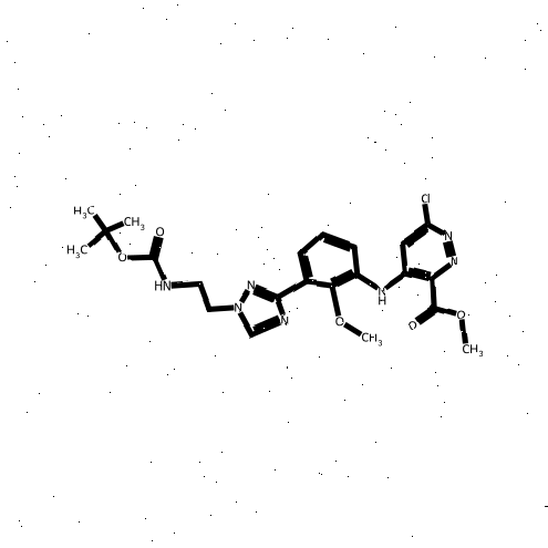 COC(=O)c1nnc(Cl)cc1Nc1cccc(-c2ncn(CCNC(=O)OC(C)(C)C)n2)c1OC